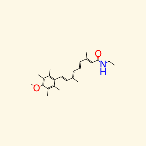 CCNC(=O)C=C(C)C=CC=C(C)C=Cc1c(C)c(C)c(OC)c(C)c1C